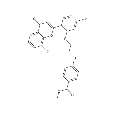 COC(=O)c1ccc(OCCOc2cc(Br)ccc2-c2cc(=O)c3cccc(Cl)c3o2)cc1